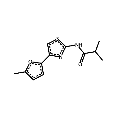 Cc1ccc(-c2csc(NC(=O)C(C)C)n2)o1